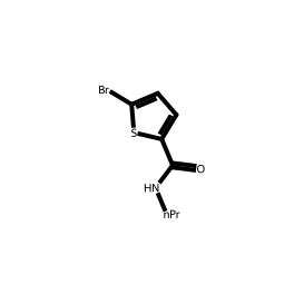 CCCNC(=O)c1ccc(Br)s1